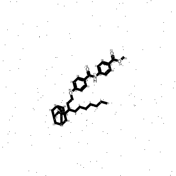 CCCCCCCC(CCOc1ccc(C(=O)Nc2ccc(C(=O)OC)cc2)cc1)C12CC3CC(CC(C3)C1)C2